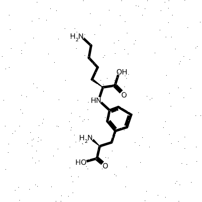 NCCCC[C@H](Nc1cccc(C[C@H](N)C(=O)O)c1)C(=O)O